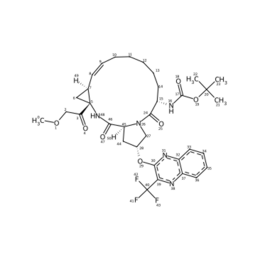 COCC(=O)[C@@]12C[C@H]1/C=C\CCCCC[C@H](NC(=O)OC(C)(C)C)C(=O)N1C[C@H](Oc3nc4ccccc4nc3C(F)(F)F)C[C@H]1C(=O)N2